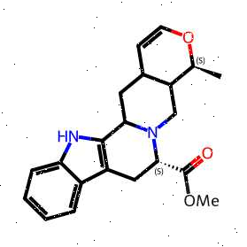 COC(=O)[C@@H]1Cc2c([nH]c3ccccc23)C2CC3C=CO[C@@H](C)C3CN21